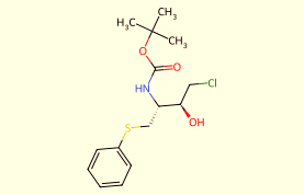 CC(C)(C)OC(=O)N[C@@H](CSc1ccccc1)[C@H](O)CCl